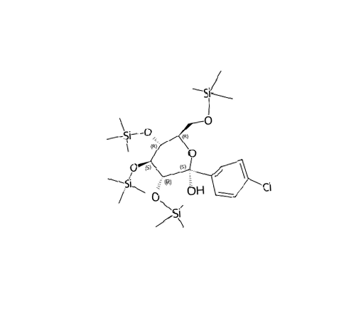 C[Si](C)(C)OC[C@H]1O[C@@](O)(c2ccc(Cl)cc2)[C@H](O[Si](C)(C)C)[C@@H](O[Si](C)(C)C)[C@@H]1O[Si](C)(C)C